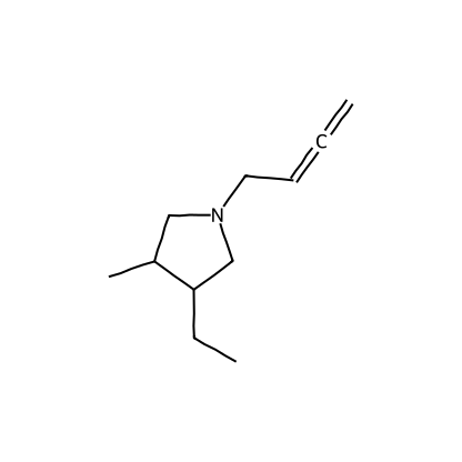 C=C=CCN1CC(C)C(CC)C1